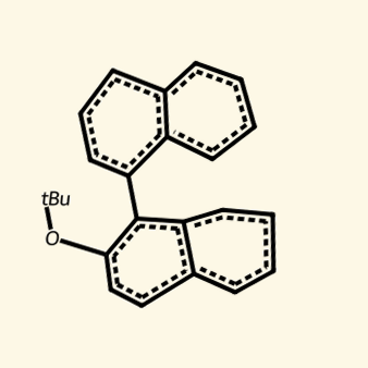 CC(C)(C)Oc1ccc2ccccc2c1-c1cccc2ccccc12